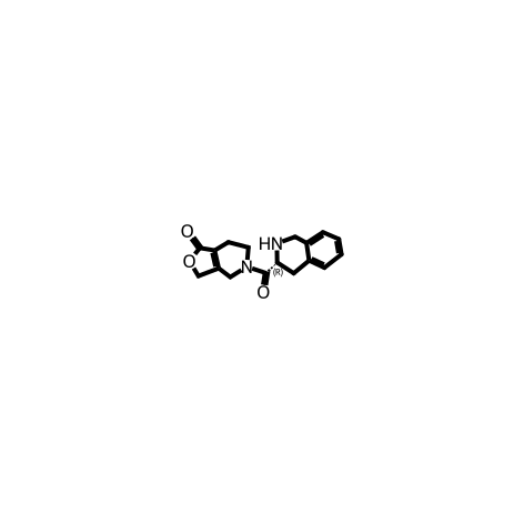 O=C1OCC2=C1CCN(C(=O)[C@H]1Cc3ccccc3CN1)C2